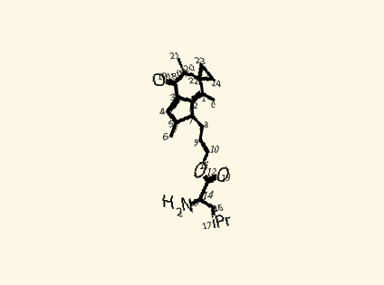 CC1=C2C(=CC(C)C2CCCOC(=O)C(N)CC(C)C)C(=O)[C@@H](C)C12CC2